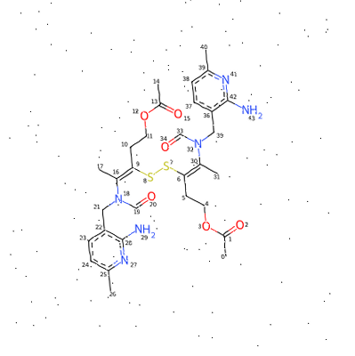 CC(=O)OCC/C(SS/C(CCOC(C)=O)=C(/C)N(C=O)Cc1ccc(C)nc1N)=C(\C)N(C=O)Cc1ccc(C)nc1N